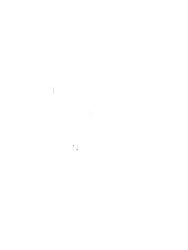 Clc1cnc(C2CC2)s1